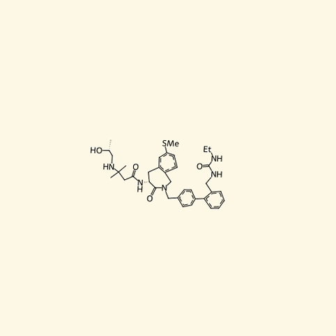 CCNC(=O)NCc1ccccc1-c1ccc(CN2Cc3ccc(SC)cc3C[C@@H](NC(=O)CC(C)(C)NC[C@@H](C)O)C2=O)cc1